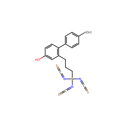 CCCCCCCCc1ccc(-c2ccc(O)cc2CCC[Si](N=C=S)(N=C=S)N=C=S)cc1